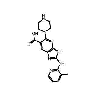 Cc1cccnc1Nc1nc2cc(C(=O)O)c(N3CCNCC3)cc2[nH]1